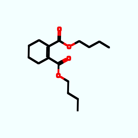 CCCCOC(=O)C1=C(C(=O)OCCCC)CCCC1